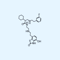 O=C(NCCNCCc1ccc(O)c2[nH]c(=O)sc12)C(CNCCc1cccc(F)c1)C1CCCCC1